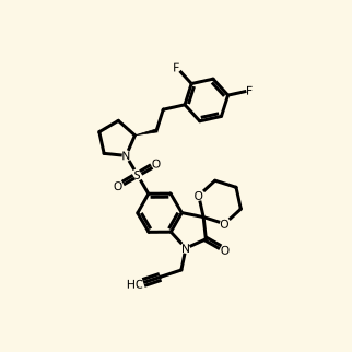 C#CCN1C(=O)C2(OCCCO2)c2cc(S(=O)(=O)N3CCC[C@H]3CCc3ccc(F)cc3F)ccc21